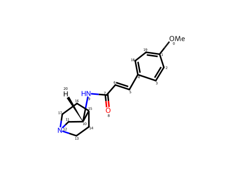 COc1ccc(/C=C/C(=O)N[C@H]2CN3CCC2CC3)cc1